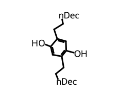 CCCCCCCCCCCCc1cc(O)c(CCCCCCCCCCCC)cc1O